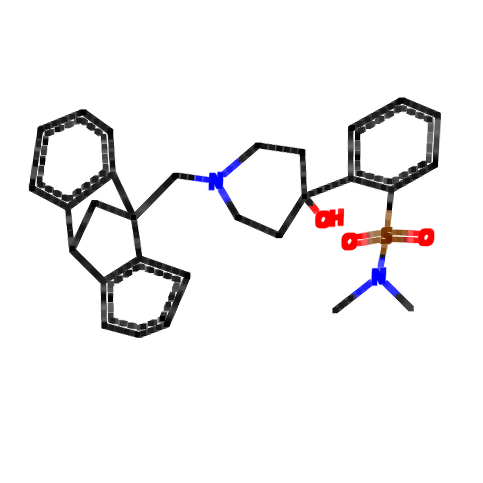 CN(C)S(=O)(=O)c1ccccc1C1(O)CCN(CC23CC(c4ccccc42)c2ccccc23)CC1